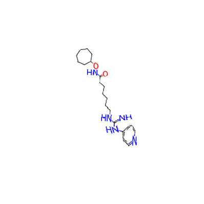 N=C(NCCCCCCC(=O)NOC1CCCCCC1)Nc1ccncc1